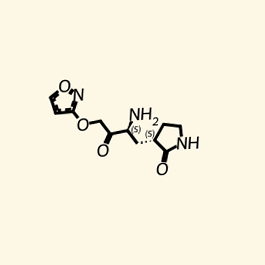 N[C@@H](C[C@@H]1CCNC1=O)C(=O)COc1ccon1